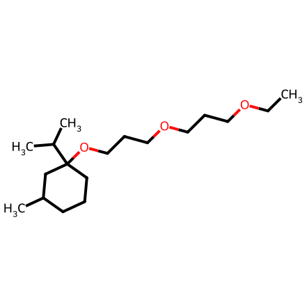 CCOCCCOCCCOC1(C(C)C)CCCC(C)C1